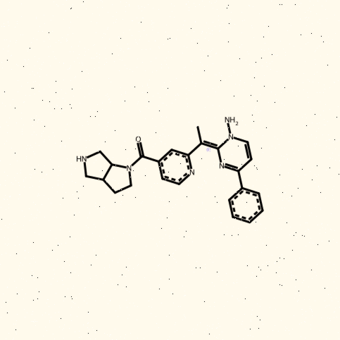 C/C(=C1/N=C(c2ccccc2)C=CN1N)c1cc(C(=O)N2CCC3CNCC32)ccn1